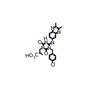 Cc1nc2ccc(/N=c3\[nH]c(=O)n(C[C@H](C)C(=O)O)c(=O)n3Cc3ccc(Cl)cc3)cc2nc1C